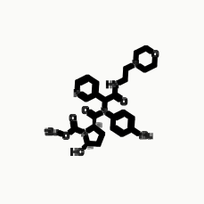 CC(C)(C)OC(=O)N1[C@H](O)CC[C@@H]1C(=O)N(c1ccc(C(C)(C)C)cc1)C(C(=O)NCCN1CCOCC1)c1cccnc1